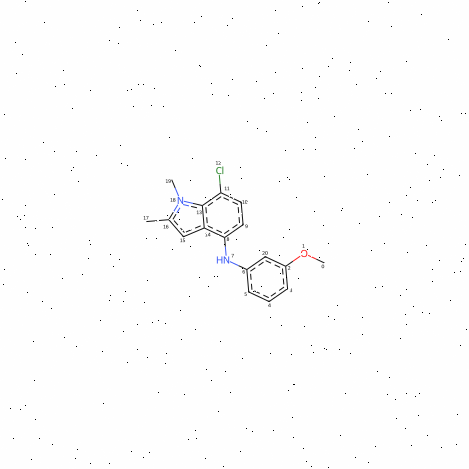 COc1cccc(Nc2ccc(Cl)c3c2cc(C)n3C)c1